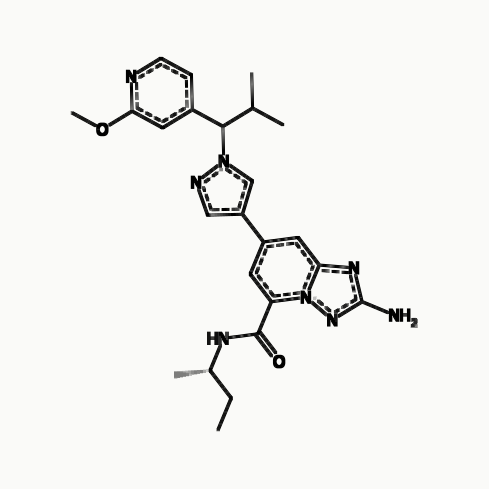 CC[C@H](C)NC(=O)c1cc(-c2cnn(C(c3ccnc(OC)c3)C(C)C)c2)cc2nc(N)nn12